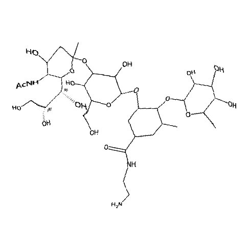 CC(=O)NC1C(O)CC(C)(OC2C(O)C(CO)OC(OC3CC(C(=O)NCCN)CC(C)C3OC3OC(C)C(O)C(O)C3O)C2O)OC1[C@H](O)[C@H](O)CO